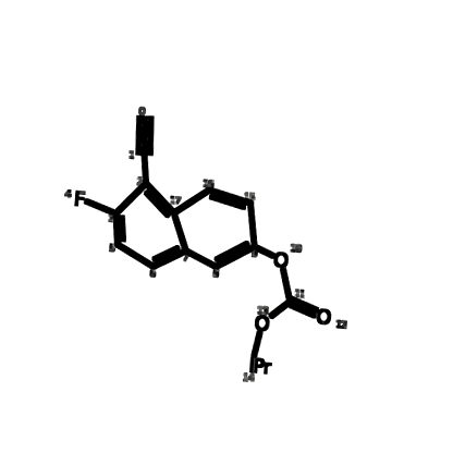 C#Cc1c(F)ccc2cc(OC(=O)OC(C)C)ccc12